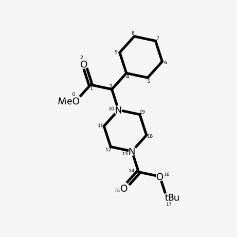 COC(=O)C(C1CCCCC1)N1CCN(C(=O)OC(C)(C)C)CC1